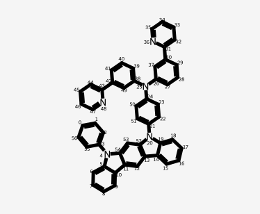 c1ccc(-n2c3ccccc3c3cc4c5ccccc5n(-c5ccc(N(c6cccc(-c7ccccn7)c6)c6cccc(-c7ccccn7)c6)cc5)c4cc32)cc1